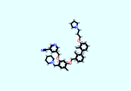 Cc1cc(CN2CCCCC2)c(OCc2cncc(C#N)c2)cc1OCc1cccc(-c2cccc(OCCCN3CCCC3)c2C)c1C